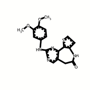 COc1ccc(Nc2ncc3c(n2)-c2sccc2NC(=O)C3)cc1OC